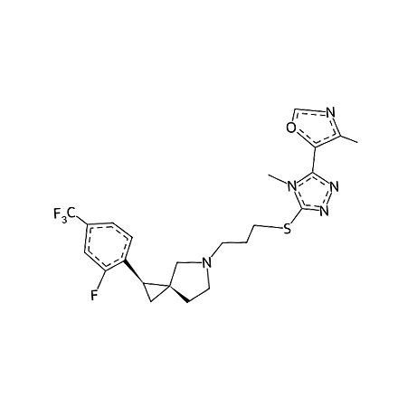 Cc1ncoc1-c1nnc(SCCCN2CC[C@]3(C[C@H]3c3ccc(C(F)(F)F)cc3F)C2)n1C